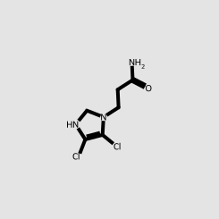 NC(=O)CCN1CNC(Cl)=C1Cl